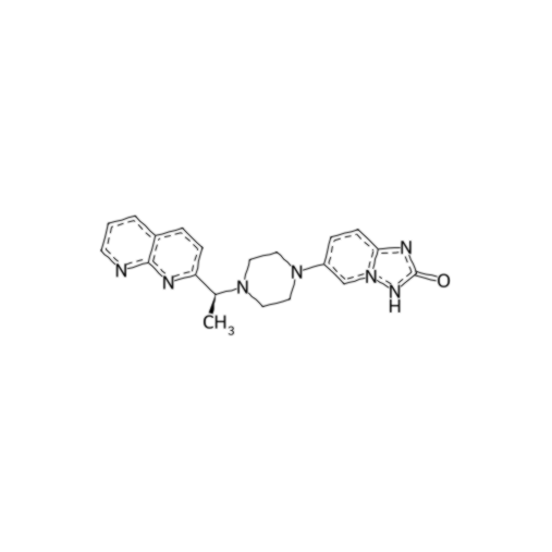 C[C@@H](c1ccc2cccnc2n1)N1CCN(c2ccc3nc(=O)[nH]n3c2)CC1